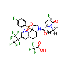 O=C(O)C(F)(F)F.[2H]C([2H])([2H])N1C(=O)[C@H](F)C[C@H]1C(=O)N1CCC2(S(=O)(=O)c3ccc(F)cc3)c3ncc(C(F)(C(F)(F)F)C(F)(F)F)cc3CCC12